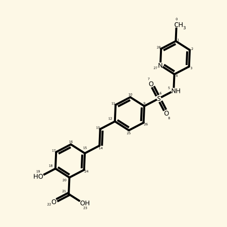 Cc1ccc(NS(=O)(=O)c2ccc(/C=C/c3ccc(O)c(C(=O)O)c3)cc2)nc1